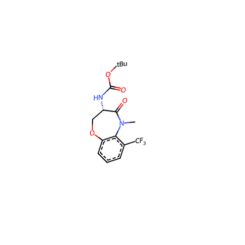 CN1C(=O)[C@@H](NC(=O)OC(C)(C)C)COc2cccc(C(F)(F)F)c21